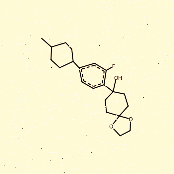 CC1CCC(c2ccc(C3(O)CCC4(CC3)OCCO4)c(F)c2)CC1